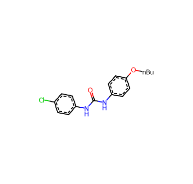 CCCCOc1ccc(NC(=O)Nc2ccc(Cl)cc2)cc1